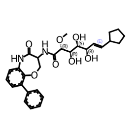 CO[C@@H](C(=O)NC1COc2c(cccc2-c2ccccc2)NC1=O)[C@H](O)[C@@H](O)[C@H](O)/C=C/C1CCCC1